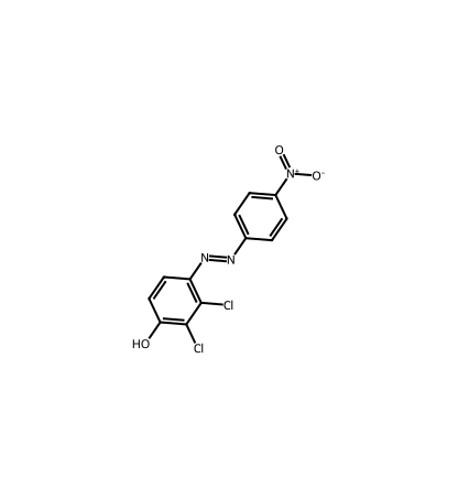 O=[N+]([O-])c1ccc(N=Nc2ccc(O)c(Cl)c2Cl)cc1